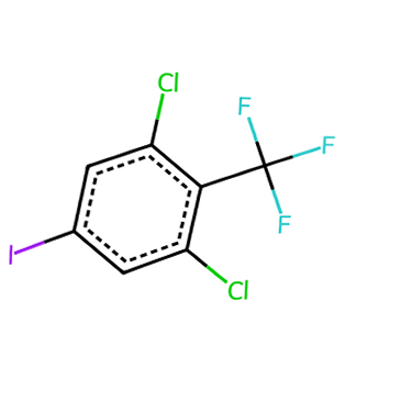 FC(F)(F)c1c(Cl)cc(I)cc1Cl